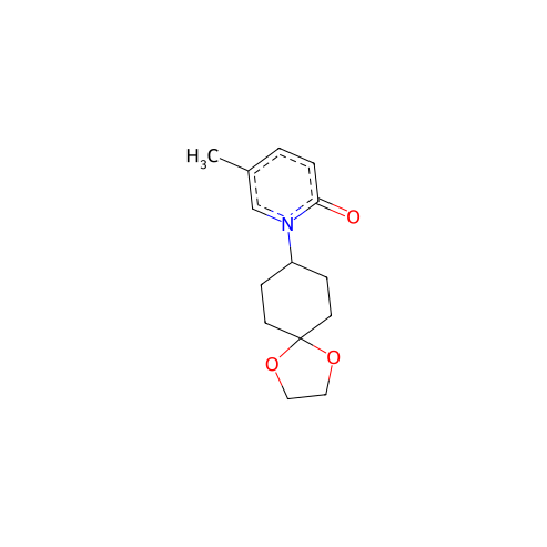 Cc1ccc(=O)n(C2CCC3(CC2)OCCO3)c1